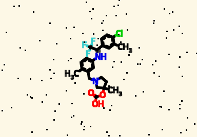 Cc1cc([C@H](Nc2ccc(C)c(CN3CCC(C)(OC(=O)O)C3)c2)C(F)(F)F)ccc1Cl